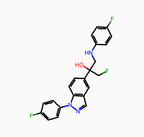 OC(CF)(CNc1ccc(F)cc1)c1ccc2c(cnn2-c2ccc(F)cc2)c1